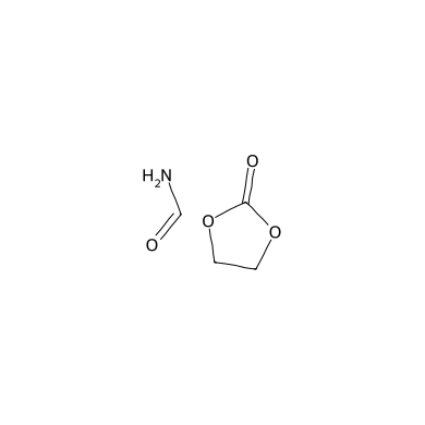 NC=O.O=C1OCCO1